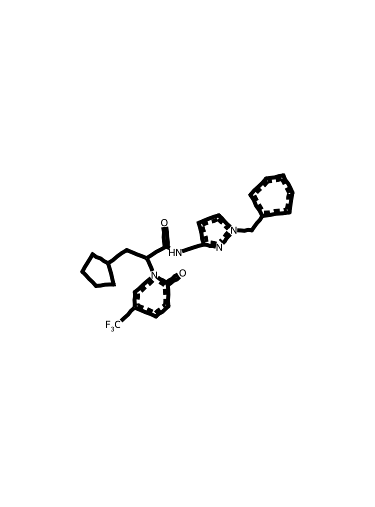 O=C(Nc1ccn(Cc2ccccc2)n1)C(CC1CCCC1)n1cc(C(F)(F)F)ccc1=O